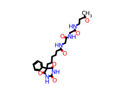 CC(=O)CCNC(=O)CNC(=O)CNC(=O)CCCCCC1(c2ccccc2)C(=O)NC(=O)NC1=O